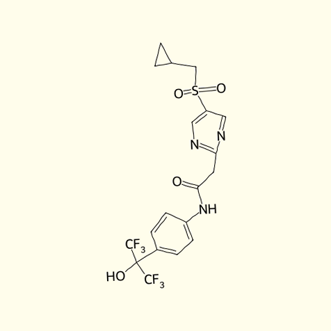 O=C(Cc1ncc(S(=O)(=O)CC2CC2)cn1)Nc1ccc(C(O)(C(F)(F)F)C(F)(F)F)cc1